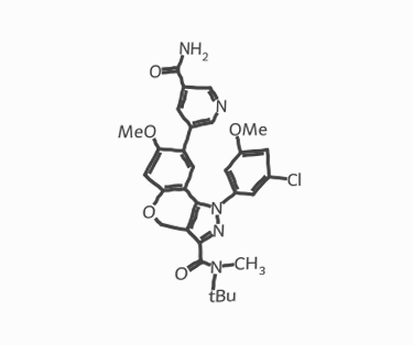 COc1cc(Cl)cc(-n2nc(C(=O)N(C)C(C)(C)C)c3c2-c2cc(-c4cncc(C(N)=O)c4)c(OC)cc2OC3)c1